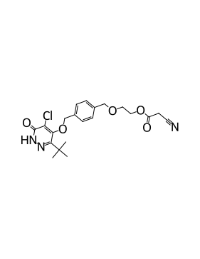 CC(C)(C)c1n[nH]c(=O)c(Cl)c1OCc1ccc(COCCOC(=O)CC#N)cc1